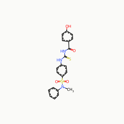 CN(c1ccccc1)S(=O)(=O)c1ccc(NC(=S)NC(=O)c2ccc(O)cc2)cc1